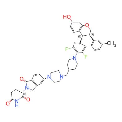 Cc1cccc([C@@H]2COc3cc(O)ccc3[C@@H]2c2cc(F)c(N3CCC(CN4CCN(c5ccc6c(c5)CN([C@H]5CCC(=O)NC5=O)C6=O)CC4)CC3)c(F)c2)c1